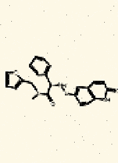 CN(Cc1ccco1)C(=O)[C@H](NSc1ccc2[nH]c(=O)ccc2c1)c1ccccc1